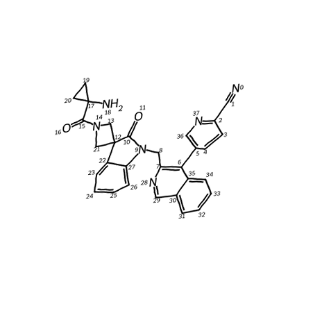 N#Cc1ccc(-c2c(CN3C(=O)C4(CN(C(=O)C5(N)CC5)C4)c4ccccc43)ncc3ccccc23)cn1